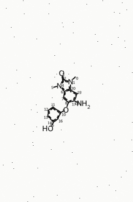 Cn1c(=O)n(C)c2cc(Oc3cccc(O)c3)c(N)cc21